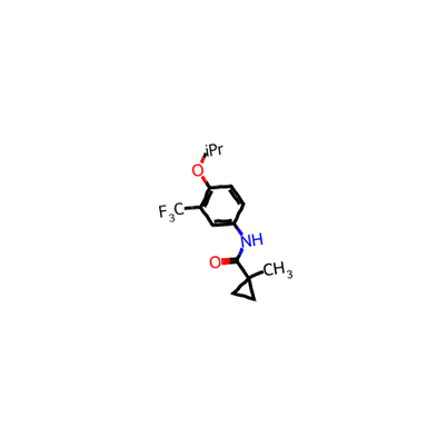 CC(C)Oc1ccc(NC(=O)C2(C)CC2)cc1C(F)(F)F